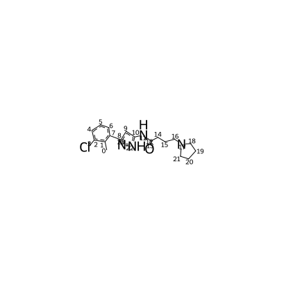 Cc1c(Cl)cccc1-c1cc(NC(=O)CCCN2CCCC2)[nH]n1